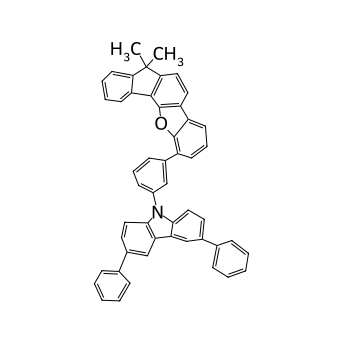 CC1(C)c2ccccc2-c2c1ccc1c2oc2c(-c3cccc(-n4c5ccc(-c6ccccc6)cc5c5cc(-c6ccccc6)ccc54)c3)cccc21